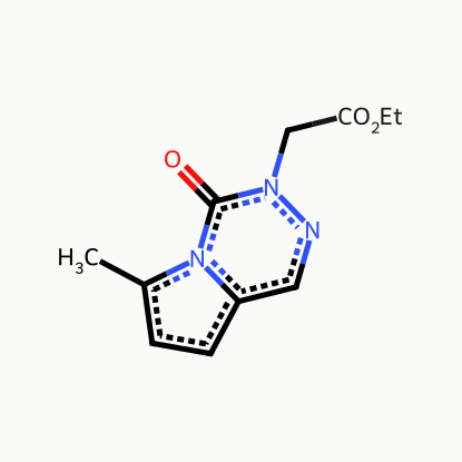 CCOC(=O)Cn1ncc2ccc(C)n2c1=O